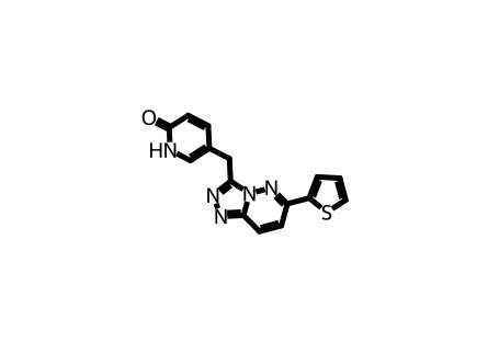 O=c1ccc(Cc2nnc3ccc(-c4cccs4)nn23)c[nH]1